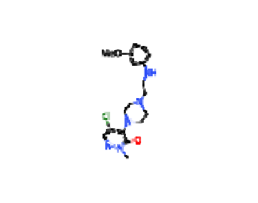 COc1cccc(NCCN2CCN(c3c(Cl)cnn(C)c3=O)CC2)c1